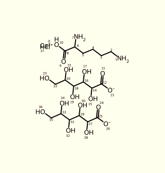 Cl.NCCCCC(N)C(=O)O.O=C([O-])C(O)C(O)C(O)C(O)CO.O=C([O-])C(O)C(O)C(O)C(O)CO.[Ca+2]